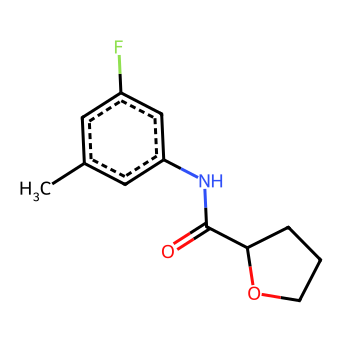 Cc1cc(F)cc(NC(=O)C2CCCO2)c1